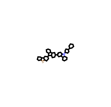 C1=C(C2CCC3C(C2)C2CCCCC2C3C2CCC3SC4CCCCC4C3C2)CC2C3CCCCC3N(C3CCC(C4CCCCC4)CC3)C2C1